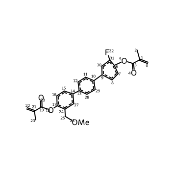 C=C(C)C(=O)Oc1ccc(-c2ccc(-c3ccc(OC(=O)C(=C)C)c(COC)c3)cc2)cc1F